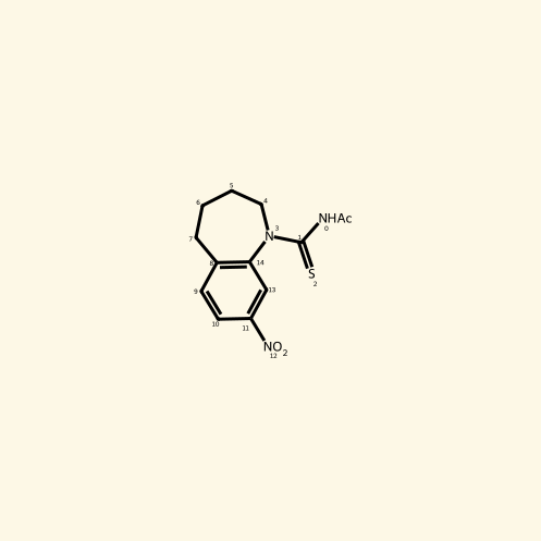 CC(=O)NC(=S)N1CCCCc2ccc([N+](=O)[O-])cc21